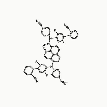 [C-]#[N+]c1ccc(N(c2cc(F)c(-c3ccccc3C#N)cc2F)c2ccc3ccc4c(N(c5ccc(C#N)cc5)c5cc(F)c(-c6ccccc6C#N)cc5F)ccc5ccc2c3c54)cc1